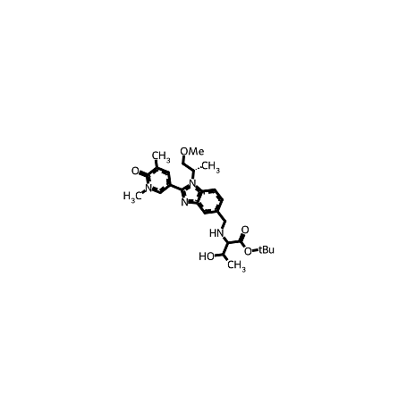 COC[C@H](C)n1c(-c2cc(C)c(=O)n(C)c2)nc2cc(CNC(C(=O)OC(C)(C)C)C(C)O)ccc21